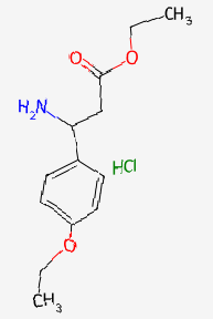 CCOC(=O)CC(N)c1ccc(OCC)cc1.Cl